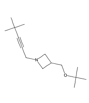 CC(C)(C)C#CCN1CC(COC(C)(C)C)C1